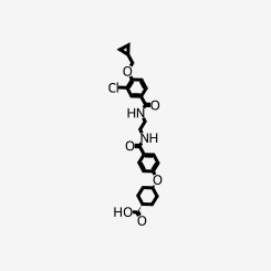 O=C(NCCNC(=O)c1ccc(OCC2CC2)c(Cl)c1)c1ccc(O[C@H]2CC[C@@H](C(=O)O)CC2)cc1